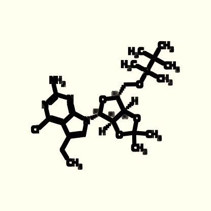 CCc1cn([C@@H]2O[C@H](CO[Si](C)(C)C(C)(C)C)[C@H]3OC(C)(C)O[C@H]32)c2nc(N)nc(Cl)c12